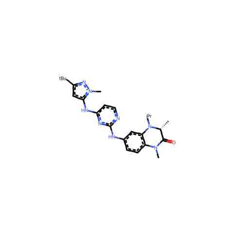 CC(C)N1c2cc(Nc3nccc(Nc4cc(C(C)(C)C)nn4C)n3)ccc2N(C)C(=O)[C@H]1C